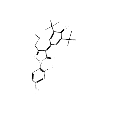 CCCC1=NN(c2ccc(Cl)cc2Cl)C(=O)C1=C1C=C(C(C)(C)C)C(=O)C(C(C)(C)C)=C1